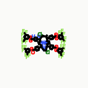 CC1=C(\c2ccc(C(=O)Oc3cc(C(F)(F)F)cc(C(F)(F)F)c3)cc2)c2ccc3n2Nn2/c(cc/c2=C(\c2ccc(C(=O)Oc4cc(C(F)(F)F)cc(C(F)(F)F)c4)cc2)C(N)/C(Cl)=C\1)=C(/c1ccc(C(=O)Oc2cc(C(F)(F)F)cc(C(F)(F)F)c2)cc1)C1=N/C(=C\3c2ccc(C(=O)Oc3cc(C(F)(F)F)cc(C(F)(F)F)c3)cc2)C(Cl)=C1